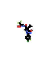 O=C(NCC(O)C(F)F)c1cn2nc(-c3ccc(Cl)c(F)c3)[nH]c(=O)c2c1C1CC1